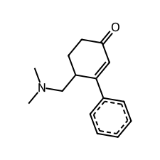 CN(C)CC1CCC(=O)C=C1c1ccccc1